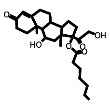 CCCCCCC(=O)OC1(C(=O)CO)CCC2C3CCC4=CC(=O)CCC4(C)C3C(O)CC21C